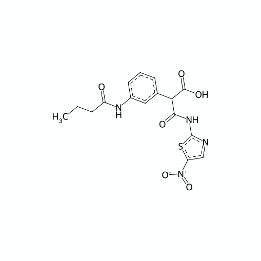 CCCC(=O)Nc1cccc(C(C(=O)O)C(=O)Nc2ncc([N+](=O)[O-])s2)c1